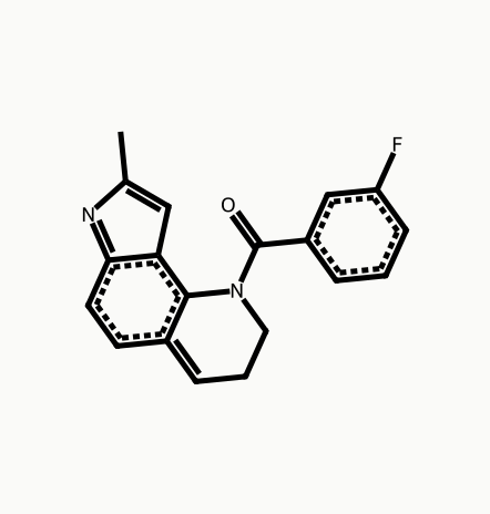 CC1=Cc2c3c(ccc2=N1)=CCCN3C(=O)c1cccc(F)c1